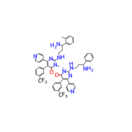 Cc1ccccc1C(N)CCNc1nc(-c2ccncc2)c(-c2cccc(C(F)(F)F)c2)c(=O)n1C.Cn1c(NCCC(N)c2ccccc2)nc(-c2ccncc2)c(-c2cccc(C(F)(F)F)c2)c1=O